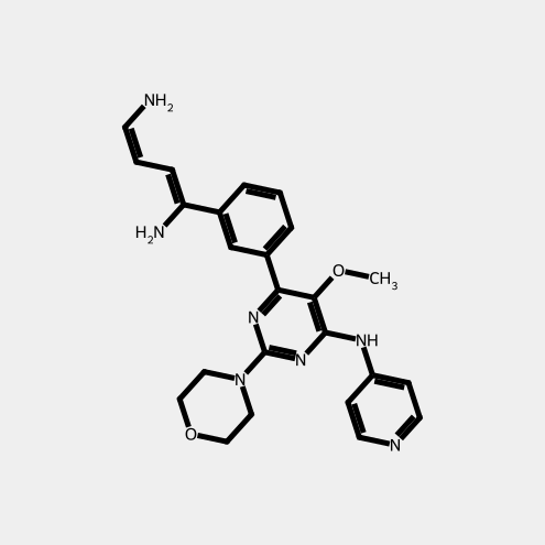 COc1c(Nc2ccncc2)nc(N2CCOCC2)nc1-c1cccc(/C(N)=C/C=C\N)c1